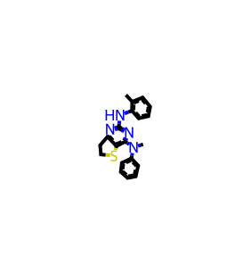 Cc1ccccc1Nc1nc2c(c(N(C)c3ccccc3)n1)SCC2